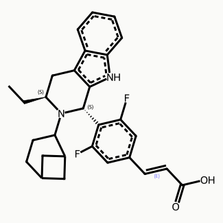 CC[C@H]1Cc2c([nH]c3ccccc23)[C@H](c2c(F)cc(/C=C/C(=O)O)cc2F)N1C1CCC2CC1C2